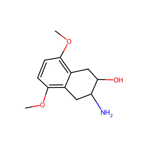 COc1ccc(OC)c2c1CC(N)C(O)C2